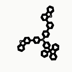 c1ccc(C2(c3ccc(N(c4ccc(-c5cccc(-c6cccc7c6oc6ccccc67)c5)cc4)c4ccc(-c5ccc6oc7ccccc7c6c5)cc4)cc3)c3ccccc3-c3ccccc32)cc1